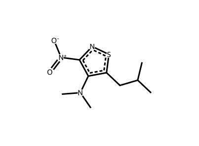 CC(C)Cc1snc([N+](=O)[O-])c1N(C)C